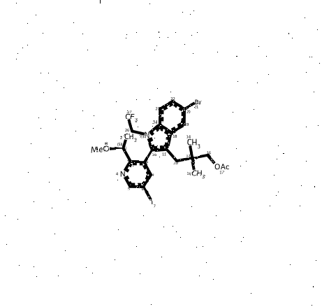 CO[C@@H](C)c1ncc(I)cc1-c1c(CC(C)(C)COC(C)=O)c2cc(Br)ccc2n1CC(F)(F)F